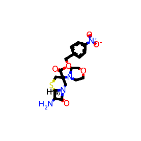 NC1C(=O)N2CC(C(=O)OCc3ccc([N+](=O)[O-])cc3)(N3CCOCC3)CS[C@H]12